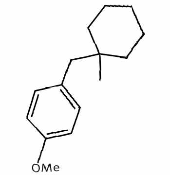 COc1ccc(CC2(C)CCCCC2)cc1